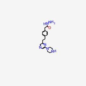 NNC(=O)Cc1ccc(CCc2cncc(N3CCNCC3)n2)cc1